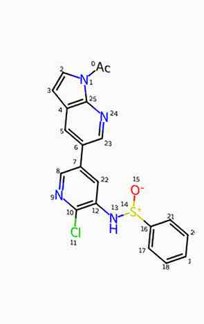 CC(=O)n1ccc2cc(-c3cnc(Cl)c(N[S+]([O-])c4ccccc4)c3)cnc21